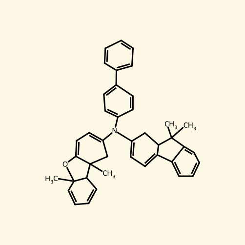 CC12C=CC=CC1C1(C)CC(N(C3=CC=C4c5ccccc5C(C)(C)C4C3)c3ccc(-c4ccccc4)cc3)=CC=C1O2